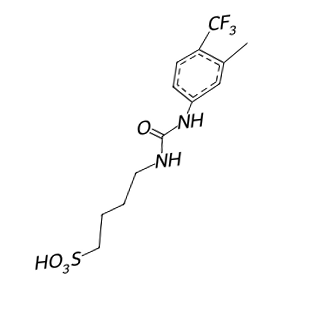 Cc1cc(NC(=O)NCCCCS(=O)(=O)O)ccc1C(F)(F)F